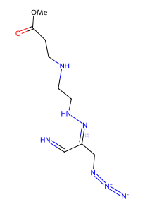 COC(=O)CCNCCN/N=C(\C=N)CN=[N+]=[N-]